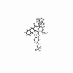 COC(=O)N(CCN1CCCC(NCS(C)(=O)=O)C1)CC(O)CN1[C@@H]2CC[C@H]1C[C@@H](NC(=O)c1cc3ccccc3n(C(C)C)c1=O)C2